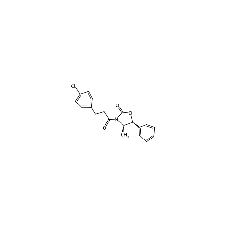 C[C@@H]1[C@H](c2ccccc2)OC(=O)N1C(=O)CCc1ccc(Cl)cc1